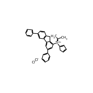 C[C](C)=[Zr+2]([C]1=CC=CC1)[c]1cc(-c2ccccc2)cc2c1Cc1ccc(-c3ccccc3)cc1-2.[Cl-].[Cl-]